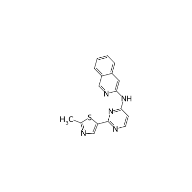 Cc1ncc(-c2nccc(Nc3cc4ccccc4cn3)n2)s1